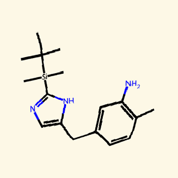 Cc1ccc(Cc2cnc([Si](C)(C)C(C)(C)C)[nH]2)cc1N